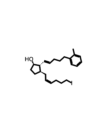 Cc1ccccc1CCC/C=C/[C@@H]1[C@@H](C/C=C\CCCI)CC[C@H]1O